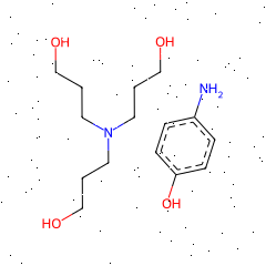 Nc1ccc(O)cc1.OCCCN(CCCO)CCCO